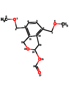 COCc1ccc(COC)c2c1COC(OC=O)C2